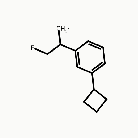 [CH2]C(CF)c1cccc(C2CCC2)c1